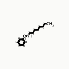 CCCCCCCCNOc1ccccc1